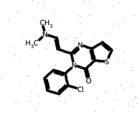 CN(C)C=Cc1nc2ccsc2c(=O)n1-c1ccccc1Cl